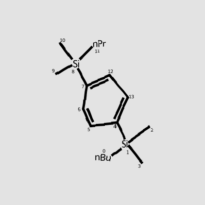 CCCC[Si](C)(C)c1ccc([Si](C)(C)CCC)cc1